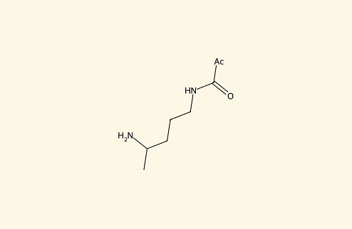 CC(=O)C(=O)NCCCC(C)N